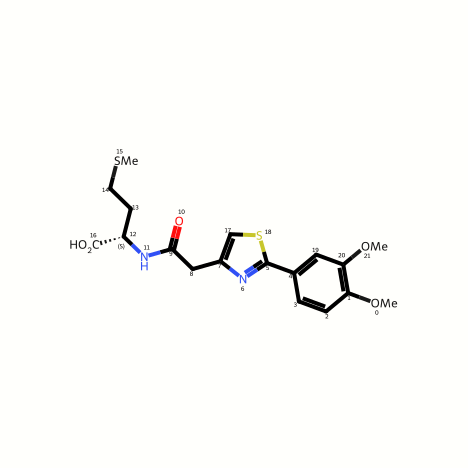 COc1ccc(-c2nc(CC(=O)N[C@@H](CCSC)C(=O)O)cs2)cc1OC